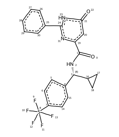 O=C(N[C@@H](c1ccc(S(F)(F)(F)(F)F)cc1)C1CC1)c1cc(=O)[nH]c(-c2ccccc2)n1